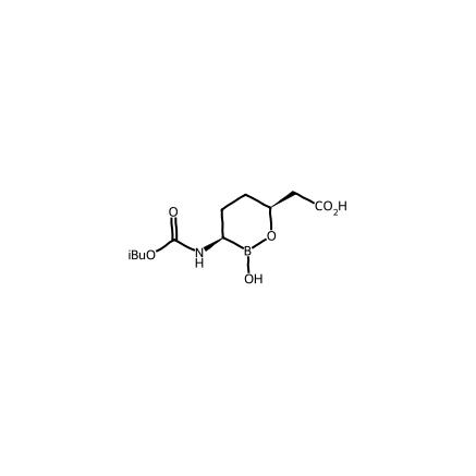 CC(C)COC(=O)N[C@H]1CC[C@@H](CC(=O)O)OB1O